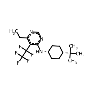 CCc1ncnc(N[C@H]2CC[C@@H](C(C)(C)C)CC2)c1C(F)(F)C(F)(F)F